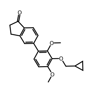 COc1ccc(-c2ccc3c(c2)CCC3=O)c(OC)c1OCC1CC1